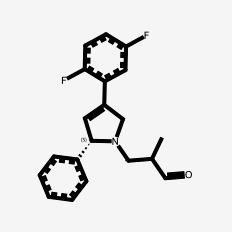 CC([CH]N1CC(c2cc(F)ccc2F)=C[C@H]1c1ccccc1)C=O